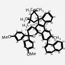 COc1ccc(C2(c3ccc(OC)cc3)C=Cc3c4c(c5cc(C)c(-c6cccc7ccccc67)cc5c3O2)-c2ccccc2C42CC(C)(C)CC(C)(C)C2)cc1